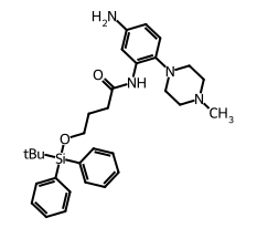 CN1CCN(c2ccc(N)cc2NC(=O)CCCO[Si](c2ccccc2)(c2ccccc2)C(C)(C)C)CC1